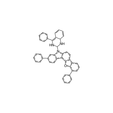 C1=CC2=C(c3ccccc3)NC(n3c4cc(-c5ccccc5)ccc4c4c5oc6c(-c7ccccc7)cccc6c5ccc43)NC2C=C1